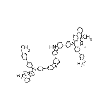 C=Cc1ccc(-c2ccc(N(c3ccc(-c4ccc5[nH]c6ccc(-c7ccc8sc9ccc(-c%10ccc(N(c%11ccc(-c%12ccc(C=C)cc%12)cc%11)c%11ccc%12c(c%11)C(C)(C)c%11ccccc%11-%12)cc%10)cc9c8c7)cc6c5c4)cc3)c3ccc4c(c3)C(C)(C)c3ccccc3-4)cc2)cc1